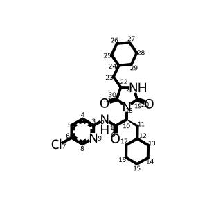 O=C(Nc1ccc(Cl)cn1)[C@H](CC1CCCCC1)N1C(=O)NC(CC2CCCCC2)C1=O